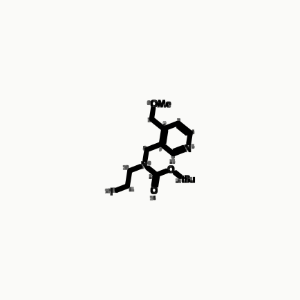 COCc1ccncc1CN(CCF)C(=O)OC(C)(C)C